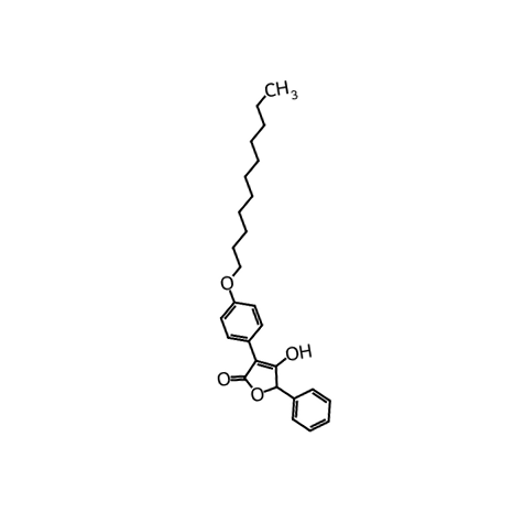 CCCCCCCCCCCOc1ccc(C2=C(O)C(c3ccccc3)OC2=O)cc1